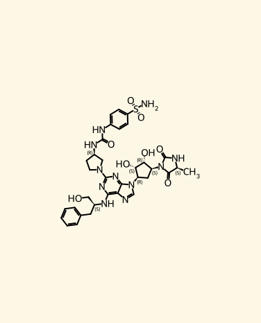 C[C@@H]1NC(=O)N([C@H]2C[C@@H](n3cnc4c(N[C@H](CO)Cc5ccccc5)nc(N5CC[C@@H](NC(=O)Nc6ccc(S(N)(=O)=O)cc6)C5)nc43)[C@H](O)[C@@H]2O)C1=O